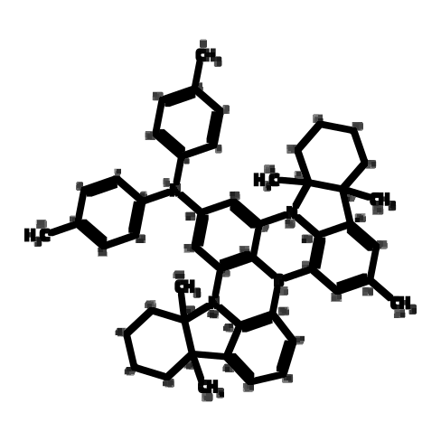 Cc1ccc(N(c2ccc(C)cc2)c2cc3c4c(c2)N2c5c(cc(C)cc5C5(C)CCCCC25C)B4c2cccc4c2N3C2(C)CCCCC42C)cc1